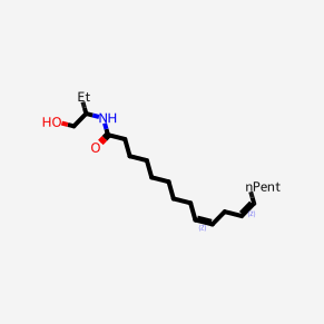 CCCCC/C=C\C/C=C\CCCCCCCC(=O)NC(CC)CO